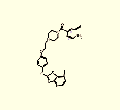 C=C/C=C(\C=C/N)C(=O)N1CCN(CCOc2ccc(Oc3nc4nccc(C)c4s3)cc2)CC1